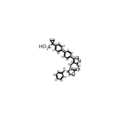 Cc1noc(-c2ccc(-c3ccc(C4(C(=O)O)CC4)cc3)cc2)c1CN1C(=O)OC[C@@H]1Cc1ccccc1